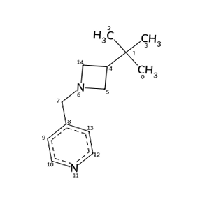 CC(C)(C)C1CN(Cc2ccncc2)C1